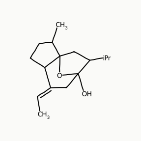 C/C=C1\CC2(O)OC3(CC2C(C)C)C(C)CCC13